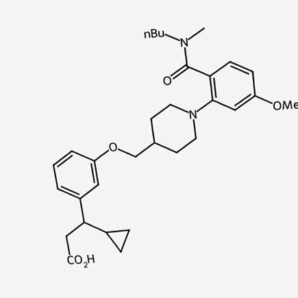 CCCCN(C)C(=O)c1ccc(OC)cc1N1CCC(COc2cccc(C(CC(=O)O)C3CC3)c2)CC1